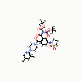 Cc1cnc(N2CCN(C(=O)c3ccc(N4CCCS4(=O)=O)cc3C(=O)N(C(=O)OC(C)(C)C)C(=O)OC(C)(C)C)CC2)c(C)c1